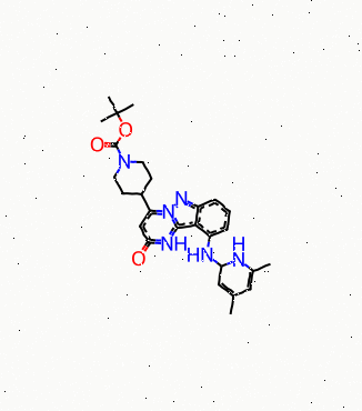 CC1=CC(Nc2cccc3nn4c(C5CCN(C(=O)OC(C)(C)C)CC5)cc(=O)[nH]c4c23)NC(C)=C1